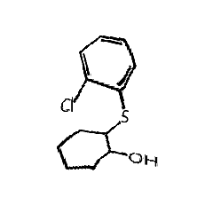 OC1CCCCC1Sc1ccccc1Cl